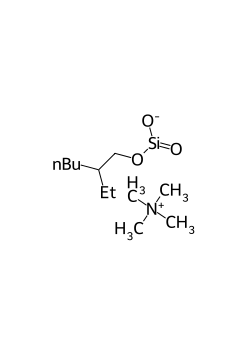 CCCCC(CC)CO[Si](=O)[O-].C[N+](C)(C)C